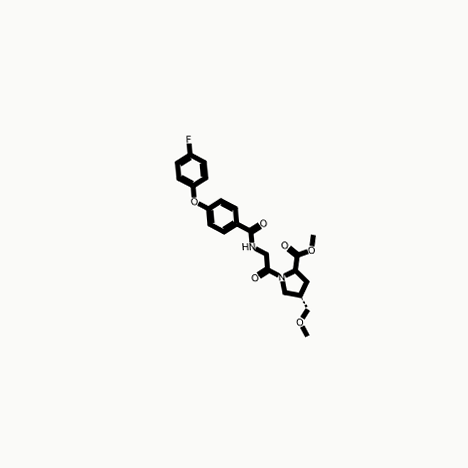 COC[C@H]1CC(C(=O)OC)N(C(=O)CNC(=O)c2ccc(Oc3ccc(F)cc3)cc2)C1